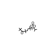 CC(C)C1OC(=O)O[C@@]1(C)C(C)(C)CCC(C)(C)C1OC1C(C)(C)C